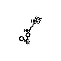 CC(C)(C)S(=O)(=O)NCCCCCNc1ccc(-c2nnnn2-c2ccccc2)cc1